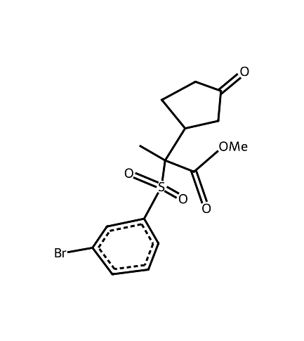 COC(=O)C(C)(C1CCC(=O)C1)S(=O)(=O)c1cccc(Br)c1